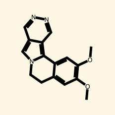 COc1cc2c(cc1OC)-c1c3cnncc3cn1CC2